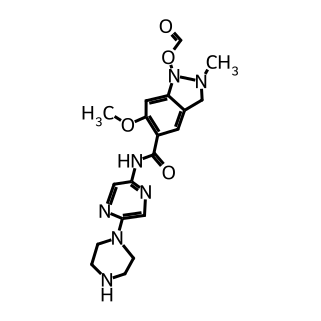 COc1cc2c(cc1C(=O)Nc1cnc(N3CCNCC3)cn1)CN(C)N2OC=O